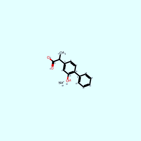 CC(C(=O)[O-])c1ccc(-c2ccccc2)c(O)c1.[Na+]